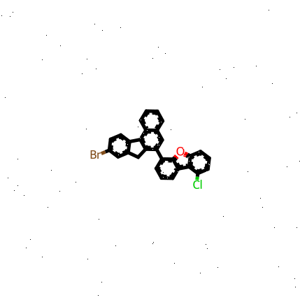 Clc1cccc2oc3c(-c4cc5ccccc5c5c4Cc4cc(Br)ccc4-5)cccc3c12